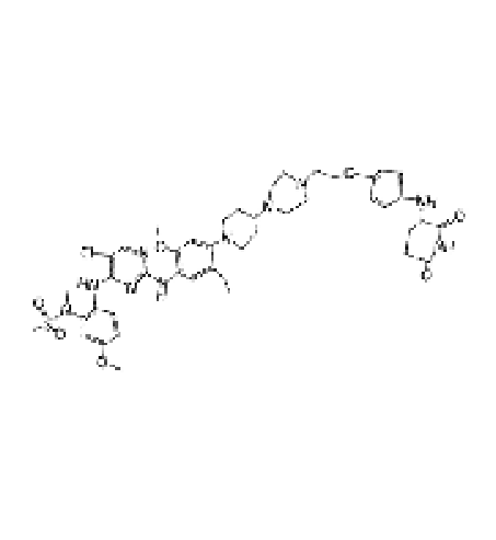 CCc1cc(Nc2ncc(Cl)c(Nc3ccc(OC)cc3N(C)S(C)(=O)=O)n2)c(OC)cc1N1CCC(N2CCN(CCOc3ccc(N[C@H]4CCC(=O)NC4=O)cc3)CC2)CC1